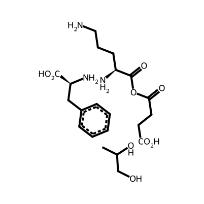 CC(O)CO.NCCC[C@H](N)C(=O)OC(=O)CCC(=O)O.N[C@@H](Cc1ccccc1)C(=O)O